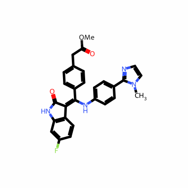 COC(=O)Cc1ccc(C(Nc2ccc(-c3nccn3C)cc2)=C2C(=O)Nc3cc(F)ccc32)cc1